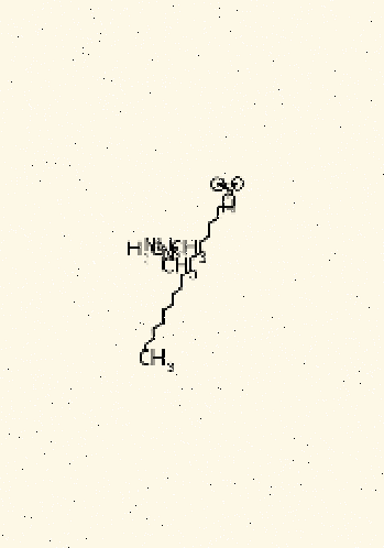 CCCCCCCCCCCCCCCCCCO[SH](=O)=O.CN(C)C.N